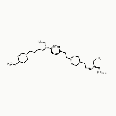 CCC(/C=N\CN1CCC(CCc2ccc(C(CC)CCCCN3CCC(CC)CC3)cc2)CC1)=C/NC